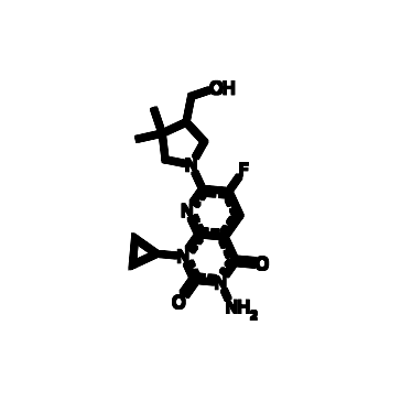 CC1(C)CN(c2nc3c(cc2F)c(=O)n(N)c(=O)n3C2CC2)CC1CO